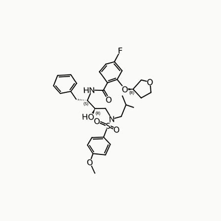 COc1ccc(S(=O)(=O)N(CC(C)C)C[C@@H](O)[C@H](Cc2ccccc2)NC(=O)c2ccc(F)cc2O[C@@H]2CCOC2)cc1